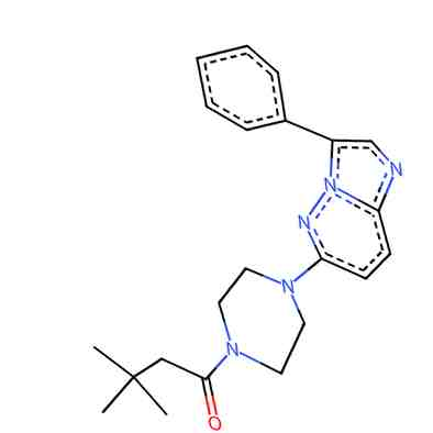 CC(C)(C)CC(=O)N1CCN(c2ccc3ncc(-c4ccccc4)n3n2)CC1